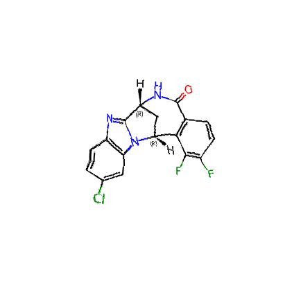 O=C1N[C@@H]2C[C@H](c3c1ccc(F)c3F)n1c2nc2ccc(Cl)cc21